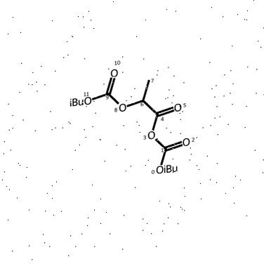 CC(C)COC(=O)OC(=O)C(C)OC(=O)OCC(C)C